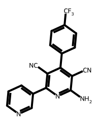 N#Cc1c(N)nc(-c2cccnc2)c(C#N)c1-c1ccc(C(F)(F)F)cc1